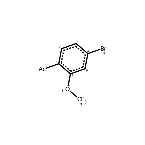 CC(=O)c1ccc(Br)cc1OC(F)(F)F